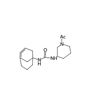 CC(=O)N1CCCC(NC(=O)NC23CC=C=C(CCC2)C3)C1